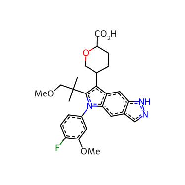 COCC(C)(C)c1c(C2CCC(C(=O)O)OC2)c2cc3[nH]ncc3cc2n1-c1ccc(F)c(OC)c1